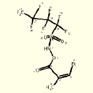 CCC=C(C)C(=O)ONS(=O)(=O)C(F)(F)C(F)(F)C(F)(F)C(F)(F)F